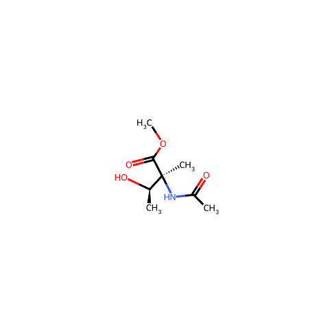 COC(=O)[C@@](C)(NC(C)=O)[C@@H](C)O